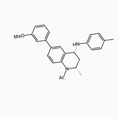 COc1cccc(-c2ccc3c(c2)[C@H](Nc2ccc(C)cc2)C[C@H](C)N3C(C)=O)c1